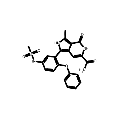 Cc1[nH]c(-c2cc(NS(C)(=O)=O)ccc2Oc2ccccc2)c2cc(C(N)=O)[nH]c(=O)c12